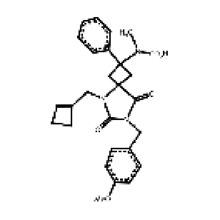 COc1ccc(CN2C(=O)N(CC3CCC3)C3(CC(c4ccccc4)(N(C)C(=O)O)C3)C2=O)cc1